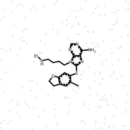 CCNCCCCn1c(Sc2cc3c(cc2I)CCO3)nc2c(N)ncnc21